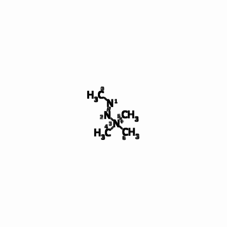 CN=N[N+](C)(C)C